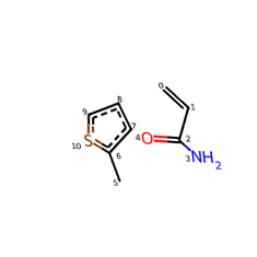 C=CC(N)=O.Cc1cccs1